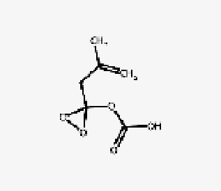 C=C(C)CC1(OC(=O)O)OO1